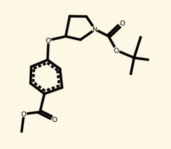 COC(=O)c1ccc(OC2CCN(C(=O)OC(C)(C)C)C2)cc1